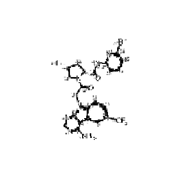 Nc1ncnc2c1c1cc(C(F)(F)F)ccc1n2CC(=O)N1C[C@H](F)C[C@@H]1C(=O)Nc1cccc(Br)n1